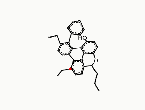 CCCC(Oc1ccc(O)c(OC(CCC)c2ccccc2)c1OC(CCC)c1ccccc1)c1ccccc1